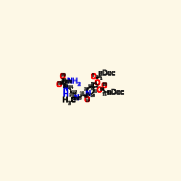 CCCCCCCCCCCC(=O)OCC1(COC(=O)CCCCCCCCCCC)CCN(C(=O)CCN(C)CCCNc2c(N)c(=O)c2=O)CC1